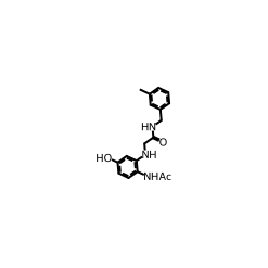 CC(=O)Nc1ccc(O)cc1NCC(=O)NCc1cccc(C)c1